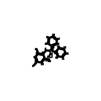 Cc1cc(C)c(C[PH](Cl)(c2ccccc2)c2ccccc2)c(C)c1